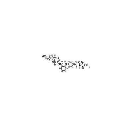 CS(=O)(=O)N1CCN(c2ccc(N3CCN(OC(=O)NC4[C@@H]5CC6C[C@H]4CC(CO)(C6)C5)c4ccccc43)cc2)CC1